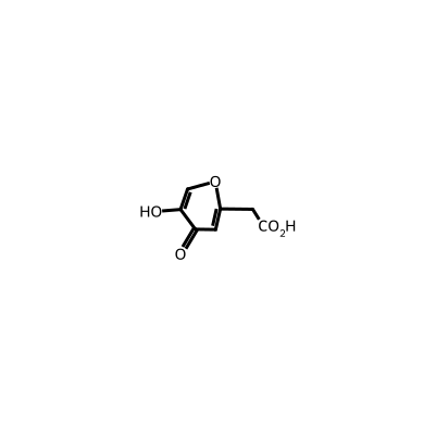 O=C(O)Cc1cc(=O)c(O)co1